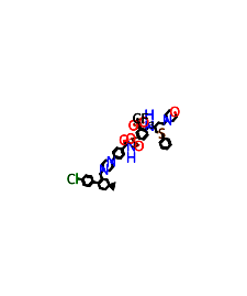 O=C(NS(=O)(=O)c1ccc(NC(CCN2CCOCC2)CSc2ccccc2)c(S(=O)(=O)C(F)(F)F)c1)c1ccc(N2CCN(CC3=C(c4ccc(Cl)cc4)CCC4(CC4)C3)CC2)cc1